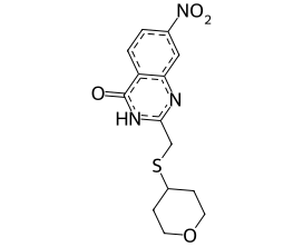 O=c1[nH]c(CSC2CCOCC2)nc2cc([N+](=O)[O-])ccc12